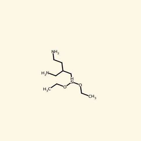 CCO[SiH](CC(CN)CCN)OCC